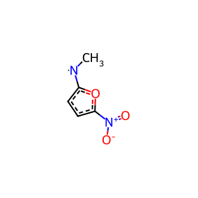 C[N]c1ccc([N+](=O)[O-])o1